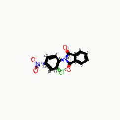 O=C1c2ccccc2C(=O)N1c1ccc([N+](=O)[O-])cc1Cl